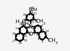 Cc1ccc2c3c(ccc2c1)N(c1c(C)cc(C(C)(C)C)cc1C)c1c(C)cc2ccccc2c1O3